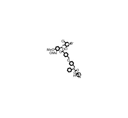 COc1ccc([C@H](Cc2c(Cl)c[n+]([O-])cc2Cl)OC(=O)c2ccc(COc3ccc(CN(C(=O)O[C@H]4CN5CCC4CC5)c4ccccc4)cc3)cc2)cc1OC